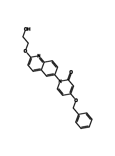 O=c1cc(OCc2ccccc2)ccn1-c1ccc2nc(OCCO)ccc2c1